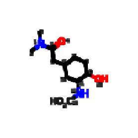 CN(C)C(=O)C[C@H]1CC[C@@H](O)[C@H](NC(=O)O)C1